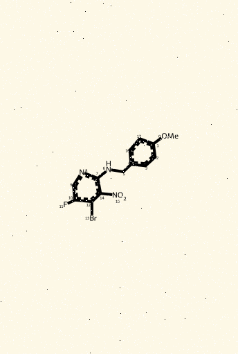 COc1ccc(CNc2ncc(F)c(Br)c2[N+](=O)[O-])cc1